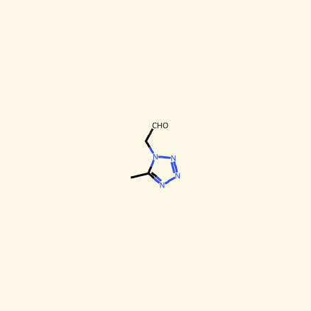 Cc1nnnn1CC=O